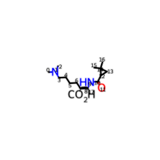 CN(C)CCCC/C=C(\NC(=O)C1CC1(C)C)C(=O)O